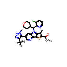 [2H]C([2H])([2H])c1nnn(C)c1-c1cnc2c3sc(C(=O)OC)c(C)c3n(C(c3ncccc3F)C3CCOCC3)c2c1